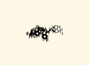 CCN(CC)CC=Cc1cc(F)ccc1N(c1ccc2c(c1C(=O)O)OC[C@@H]1[C@H]2C1(F)F)[SH](=O)=O